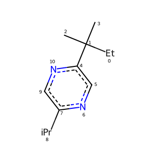 CCC(C)(C)c1cnc(C(C)C)cn1